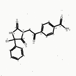 CCC1(c2ccccc2)NC(=O)N(CC(=O)c2ccc(C(N)=O)cc2)C1=O